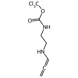 C=C=CNCCNC(=O)OC(Cl)(Cl)Cl